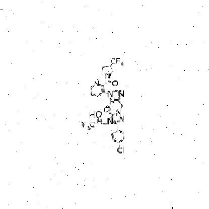 O=C(c1ncccc1-n1cnc(Cn2nc(-c3ccc(Cl)cc3)n(C[C@@H](O)C(F)(F)F)c2=O)n1)N1CCC(C(F)(F)F)C1